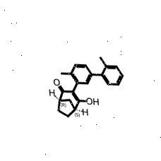 Cc1ccc(-c2ccccc2C)cc1C1=C(O)[C@H]2CC[C@H](C2)C1=O